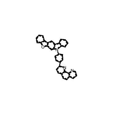 c1cnc2c(c1)ccc1ccc(-c3ccc(-n4c5ccccc5c5cc6c(cc54)oc4ccccc46)cc3)nc12